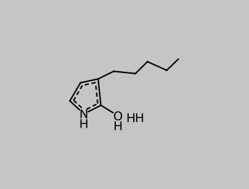 CCCCCc1cc[nH]c1O.[HH]